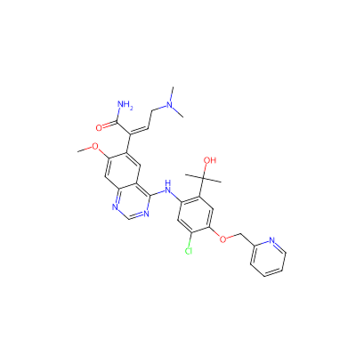 COc1cc2ncnc(Nc3cc(Cl)c(OCc4ccccn4)cc3C(C)(C)O)c2cc1C(=CCN(C)C)C(N)=O